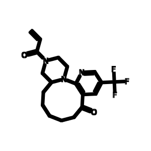 C=CC(=O)N1CCN2c3ncc(C(F)(F)F)cc3C(=O)CCCCCC2C1